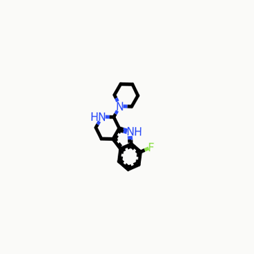 Fc1cccc2c3c([nH]c12)C(N1CCCCC1)NCC3